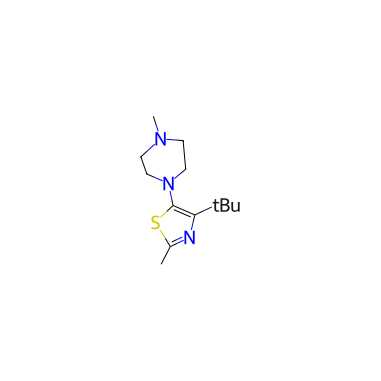 Cc1nc(C(C)(C)C)c(N2CCN(C)CC2)s1